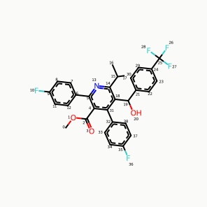 COC(=O)c1c(-c2ccc(F)cc2)nc(C(C)C)c(C(O)c2ccc(C(F)(F)F)cc2)c1-c1ccc(F)cc1